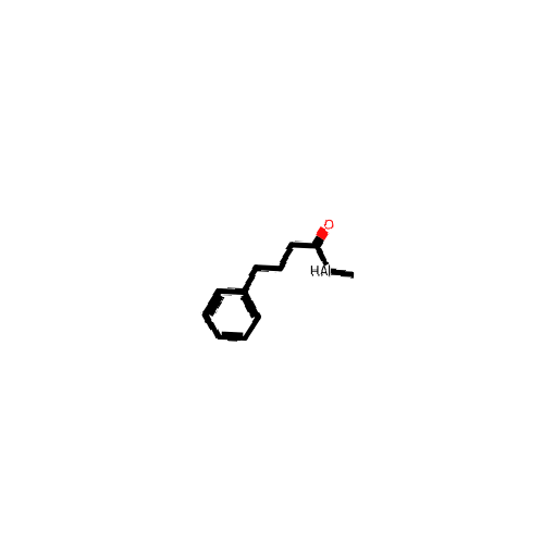 [CH3][AlH][C](=O)CCCc1ccccc1